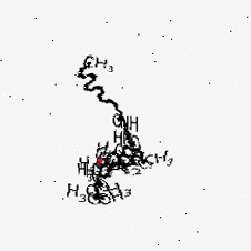 C=C(C)[C@@H]1CC[C@]2(C(=O)NCCNC(=O)CC/C=C\C/C=C\C/C=C\C/C=C\C/C=C\C/C=C\CC)CC[C@]3(C)[C@H](CC[C@@H]4[C@@]5(C)CC[C@H](OC(=O)CC(C)(C)C(=O)O)C(C)(C)[C@@H]5CC[C@]43C)[C@@H]12